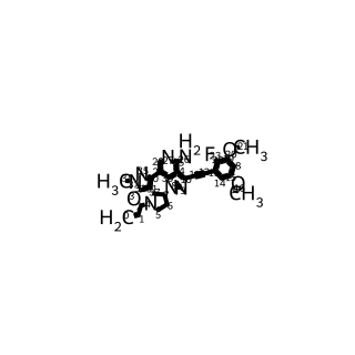 C=CC(=O)N1CCC(n2nc(C#Cc3cc(OC)cc(OC)c3F)c3c(N)ncc(-c4ccn(C)n4)c32)C1